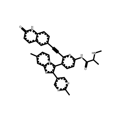 CNC(C)C(=O)Nc1ccc(-c2c(-c3cnc(C)nc3)nc3cc(C)ccn23)c(C#Cc2ccc3[nH]c(=O)ccc3c2)n1